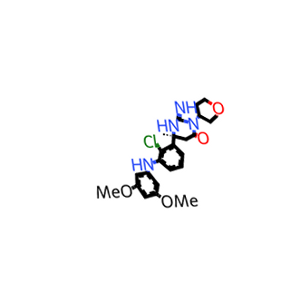 COc1cc(Nc2cccc([C@]3(C)CC(=O)N(C4CCOCC4)C(=N)N3)c2Cl)cc(OC)c1